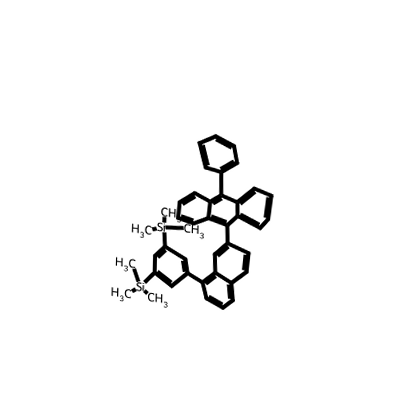 C[Si](C)(C)c1cc(-c2cccc3ccc(-c4c5ccccc5c(-c5ccccc5)c5ccccc45)cc23)cc([Si](C)(C)C)c1